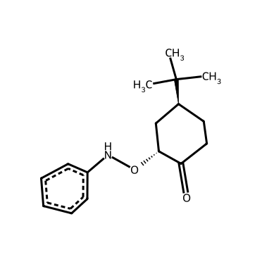 CC(C)(C)[C@H]1CCC(=O)[C@H](ONc2ccccc2)C1